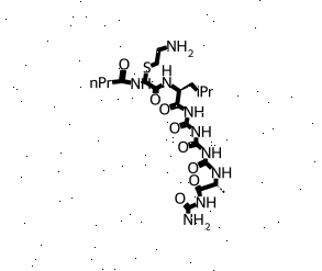 CCCC(=O)N[C@H](SCCN)C(=O)N[C@@H](CC(C)C)C(=O)NC(=O)NC(=O)NC(=O)N[C@H](C)C(=O)NC(N)=O